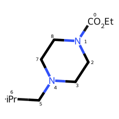 CCOC(=O)N1CCN(C[C](C)C)CC1